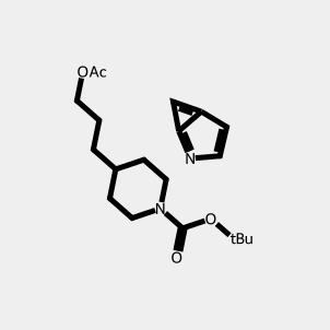 CC(=O)OCCCC1CCN(C(=O)OC(C)(C)C)CC1.c1cc2cc-2n1